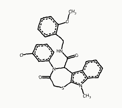 COc1ccccc1CNC(=O)C1c2c(n(C)c3ccccc23)SCC(=O)N1c1cccc(Cl)c1